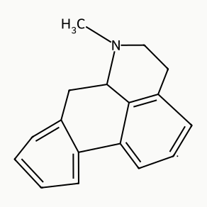 CN1CCc2c[c]cc3c2C1Cc1ccccc1-3